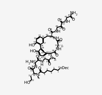 CCCCCCCCCCCCCCCC(=O)N(C)[C@H](CCO)C(=O)N[C@H](N)C(=O)NCC(=O)N(C)[C@@H]1C(=O)N[C@@H](C)C(=O)N[C@H](C(=O)NCC(=O)C(=O)NCC(N)=O)Cc2ccc(O)c(c2)-c2cc1ccc2O